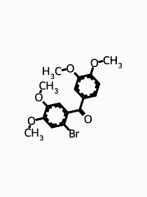 COc1ccc(C(=O)c2cc(OC)c(OC)cc2Br)cc1OC